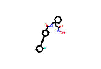 O=C(CC1(CNC(=O)c2ccc(C#CC3=CC=CCC3F)cc2)CCCCC1)NO